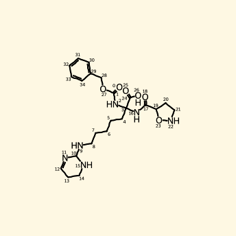 O=C(NC(CCCCCNC1N=CCCN1)(NC(=O)C1CCNO1)C(=O)O)OCc1ccccc1